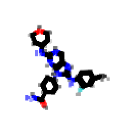 Cc1ccc(Nc2nc3cnc(NC4CCOCC4)nc3n2[C@H]2CC[C@H](C(N)=O)CC2)c(F)c1